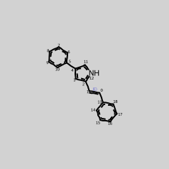 C(=C\c1cc(-c2ccccc2)c[nH]1)/c1ccccc1